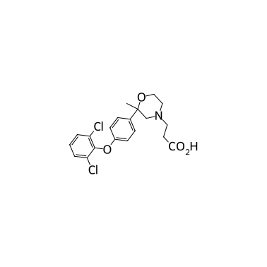 CC1(c2ccc(Oc3c(Cl)cccc3Cl)cc2)CN(CCC(=O)O)CCO1